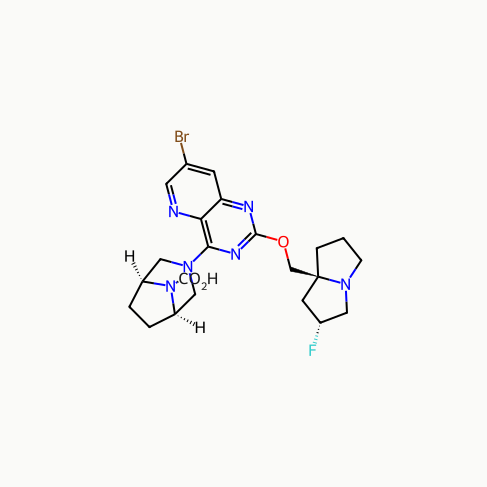 O=C(O)N1[C@@H]2CC[C@H]1CN(c1nc(OC[C@@]34CCCN3C[C@H](F)C4)nc3cc(Br)cnc13)C2